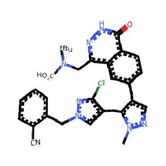 Cn1ncc(-c2ccc3c(=O)[nH]nc(CN(C(=O)O)C(C)(C)C)c3c2)c1-c1cn(Cc2ccccc2C#N)nc1Cl